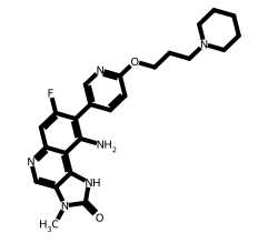 Cn1c(=O)[nH]c2c3c(N)c(-c4ccc(OCCCN5CCCCC5)nc4)c(F)cc3ncc21